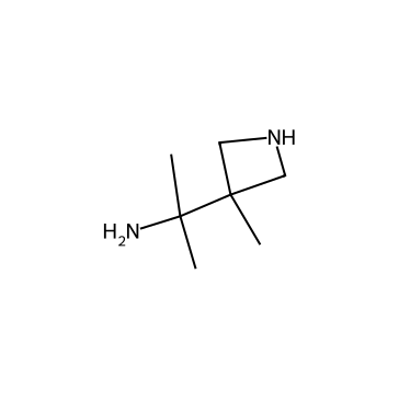 CC(C)(N)C1(C)CNC1